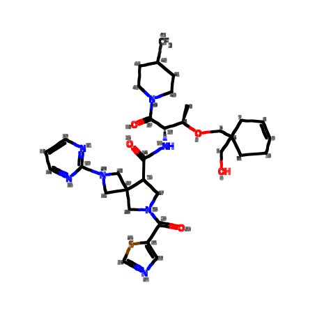 C[C@@H](OCC1(CO)CC=CCC1)[C@H](NC(=O)C1CN(C(=O)c2cncs2)CC12CN(c1ncccn1)C2)C(=O)N1CCC(C(F)(F)F)CC1